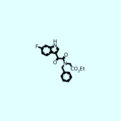 CCOC(=O)CN(Cc1ccccc1)C(=O)C(=O)c1c[nH]c2cc(F)ccc12